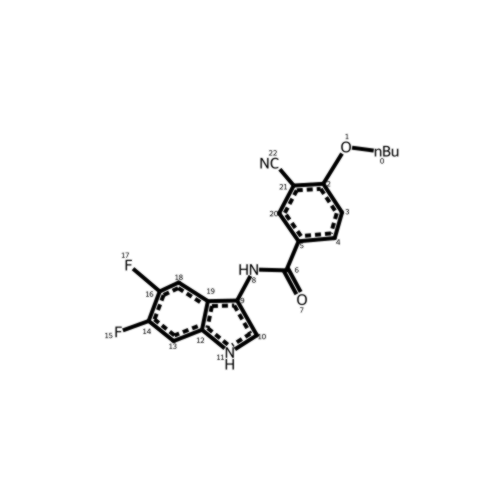 CCCCOc1ccc(C(=O)Nc2c[nH]c3cc(F)c(F)cc23)cc1C#N